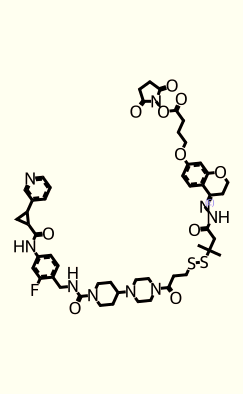 CC(C)(CC(=O)N/N=C1\CCOc2cc(OCCCC(=O)ON3C(=O)CCC3=O)ccc21)SSCCC(=O)N1CCN(C2CCN(C(=O)NCc3ccc(NC(=O)C4CC4c4cccnc4)cc3F)CC2)CC1